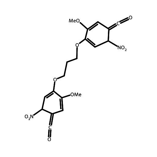 COC1=CC(=C=O)C([N+](=O)[O-])C=C1OCCCOC1=CC([N+](=O)[O-])C(=C=O)C=C1OC